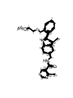 COCCOCc1ccccc1-c1[nH]c2ccc(CNC(=O)c3cncnc3C)cc2c1C